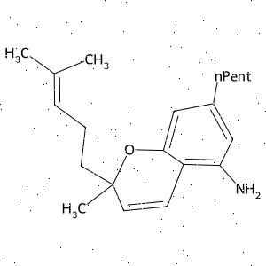 CCCCCc1cc(N)c2c(c1)OC(C)(CCC=C(C)C)C=C2